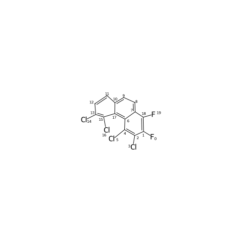 Fc1c(Cl)c(Cl)c2c(ccc3ccc(Cl)c(Cl)c32)c1F